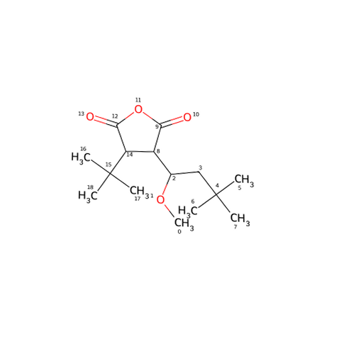 COC(CC(C)(C)C)C1C(=O)OC(=O)C1C(C)(C)C